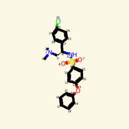 CN(C)C[C@@H](NS(=O)(=O)c1ccc(Oc2ccccc2)cc1)c1ccc(Cl)cc1